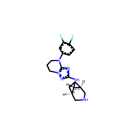 Fc1ccc(N2CCCn3nc(N[C@H]4[C@@H]5CC[C@H]4CNC5)nc32)cc1F